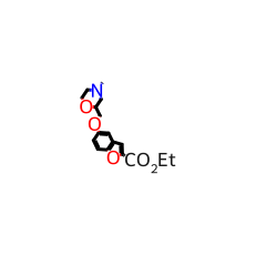 CCOC(=O)c1cc2cc(OCC3CN(C)CCO3)ccc2o1